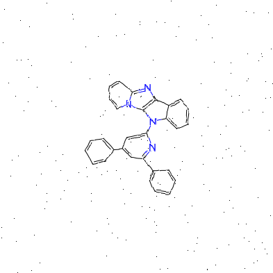 c1ccc(-c2cc(-c3ccccc3)nc(-n3c4ccccc4c4nc5ccccn5c43)c2)cc1